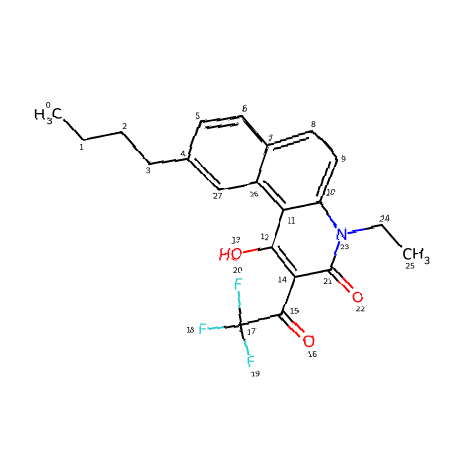 CCCCc1ccc2ccc3c(c(O)c(C(=O)C(F)(F)F)c(=O)n3CC)c2c1